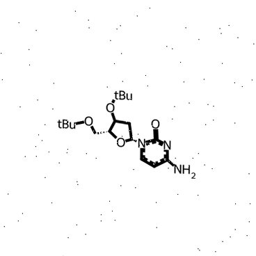 CC(C)(C)OC[C@H]1O[C@@H](n2ccc(N)nc2=O)CC1OC(C)(C)C